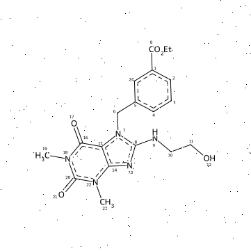 CCOC(=O)c1cccc(Cn2c(NCCO)nc3c2c(=O)n(C)c(=O)n3C)c1